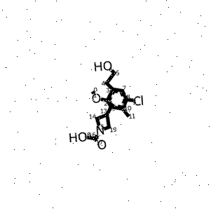 COc1c(CCO)cc(Cl)c(C)c1C1CN(C(=O)O)C1